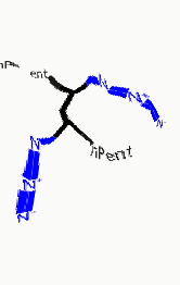 CCCCCC(N=[N+]=[N-])C(CCCCC)N=[N+]=[N-]